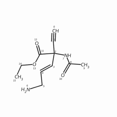 C#CC(C=CCN)(NC(C)=O)C(=O)OCC